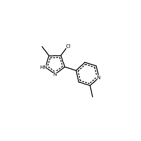 Cc1cc(-c2n[nH]c(C)c2Cl)ccn1